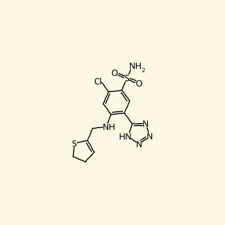 NS(=O)(=O)c1cc(-c2nnn[nH]2)c(NCC2=CCCS2)cc1Cl